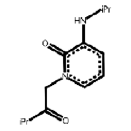 CC(C)Nc1cccn(CC(=O)C(C)C)c1=O